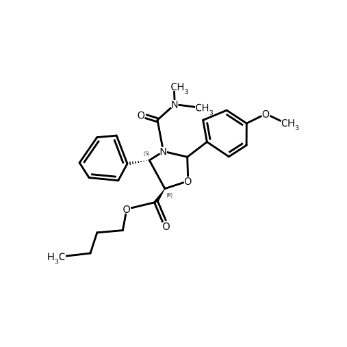 CCCCOC(=O)[C@@H]1OC(c2ccc(OC)cc2)N(C(=O)N(C)C)[C@H]1c1ccccc1